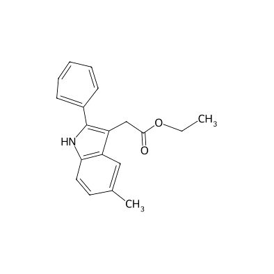 CCOC(=O)Cc1c(-c2ccccc2)[nH]c2ccc(C)cc12